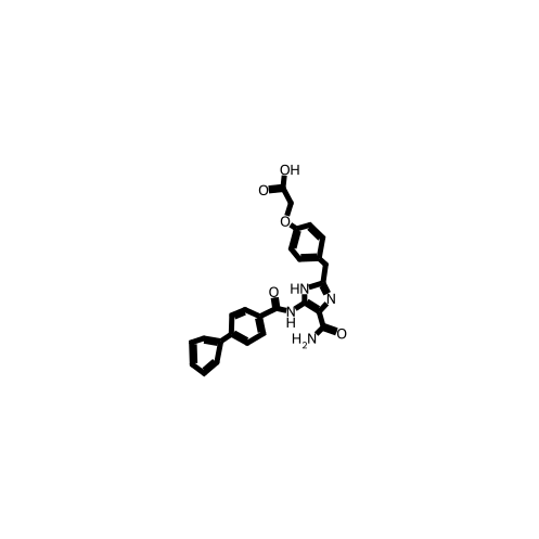 NC(=O)c1nc(Cc2ccc(OCC(=O)O)cc2)[nH]c1NC(=O)c1ccc(-c2ccccc2)cc1